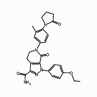 CCOc1ccc(-n2nc(C(N)=O)c3c2C(=O)N(c2ccc(N4CCCC4=O)c(C)c2)CC3)cc1